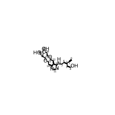 C#CC(/C=C\O)=C/CNc1ncnc(=C/COCCOO)/c1=C\COCCOO